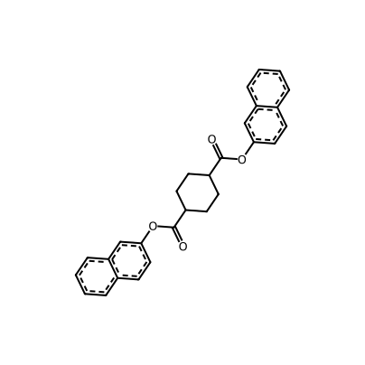 O=C(Oc1ccc2ccccc2c1)C1CCC(C(=O)Oc2ccc3ccccc3c2)CC1